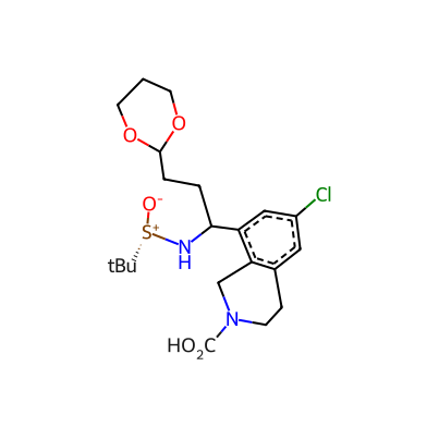 CC(C)(C)[S@+]([O-])NC(CCC1OCCCO1)c1cc(Cl)cc2c1CN(C(=O)O)CC2